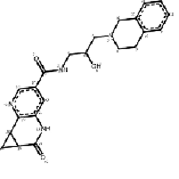 O=C(NCC(O)CN1CCc2ccccc2C1)c1cnc2c(c1)NC(=O)C1CC21